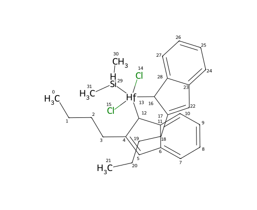 CCCCC1=Cc2ccccc2[CH]1[Hf]([Cl])([Cl])([CH]1C(CCCC)=Cc2ccccc21)[SiH](C)C